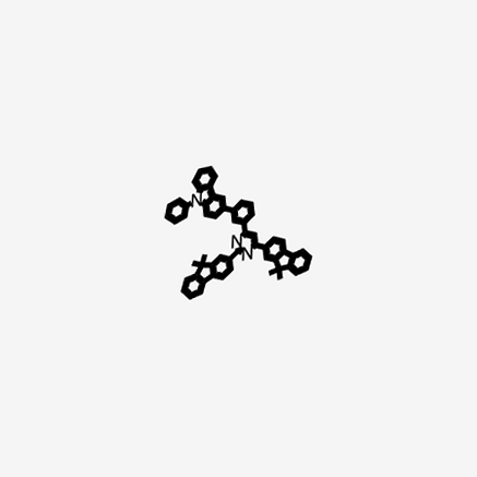 CC1(C)c2ccccc2-c2ccc(-c3cc(-c4cccc(-c5ccc6c(c5)c5ccccc5n6-c5ccccc5)c4)nc(-c4ccc5c(c4)C(C)(C)c4ccccc4-5)n3)cc21